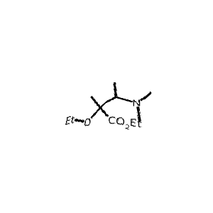 CCOC(=O)C(C)(OCC)C(C)N(C)C